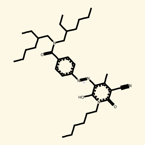 CCCCCCn1c(O)c(/N=N/c2ccc(C(=O)N(CC(CC)CCCC)CC(CC)CCCC)cc2)c(C)c(C#N)c1=O